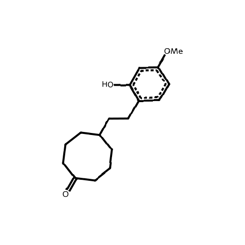 COc1ccc(CCC2CCCC(=O)CCC2)c(O)c1